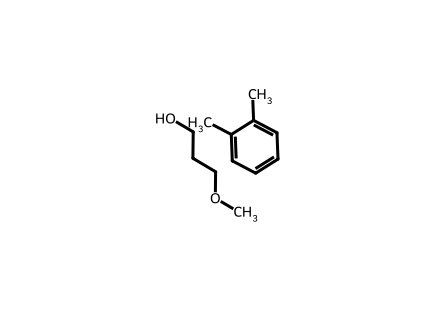 COCCCO.Cc1ccccc1C